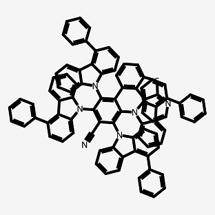 N#Cc1c(-n2c3ccccc3c3c(-c4ccccc4)cccc32)c(-n2c3ccccc3c3c(-c4ccccc4)cccc32)c(-c2cccc3sc4ncccc4c23)c(-n2c3ccccc3c3c(-c4ccccc4)cccc32)c1-n1c2ccccc2c2c(-c3ccccc3)cccc21